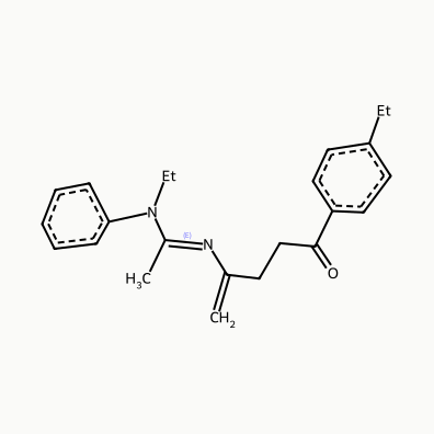 C=C(CCC(=O)c1ccc(CC)cc1)/N=C(\C)N(CC)c1ccccc1